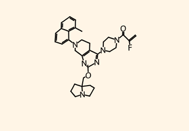 C=C(F)C(=O)N1CCN(c2nc(OCC34CCCN3CCC4)nc3c2CCN(c2cccc4cccc(C)c24)C3)CC1